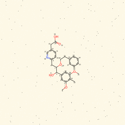 COc1cc(C(O)C(Cc2ccc(CC(=O)O)cn2)OCCc2ccccc2)cc(OC)c1C